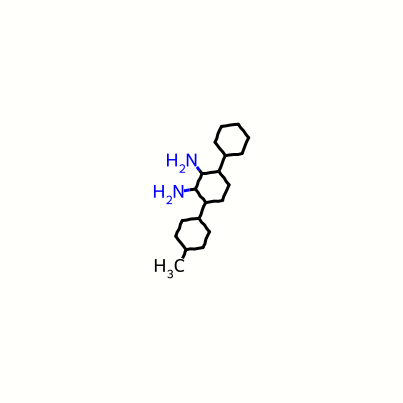 CC1CCC(C2CCC(C3CCCCC3)C(N)C2N)CC1